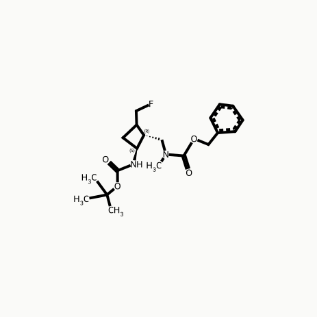 CN(C[C@H]1C(CF)C[C@@H]1NC(=O)OC(C)(C)C)C(=O)OCc1ccccc1